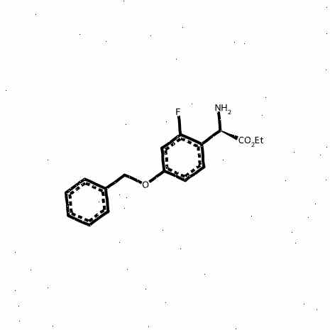 CCOC(=O)[C@H](N)c1ccc(OCc2ccccc2)cc1F